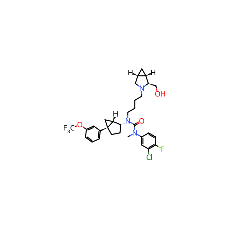 CN(C(=O)N(CCCCN1C[C@@H]2C[C@@H]2[C@H]1CO)[C@@H]1CC[C@]2(c3cccc(OC(F)(F)F)c3)C[C@H]12)c1ccc(F)c(Cl)c1